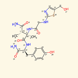 C[C@H](C(N)=O)[C@@](C)(NC(=O)CNc1ncc(CO)s1)C(=O)N[C@@H](Cc1ccc(O)cc1)C(N)=O